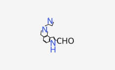 CN1CCC1CN1CCc2ccc3[nH]c(C=O)cc3c2C1